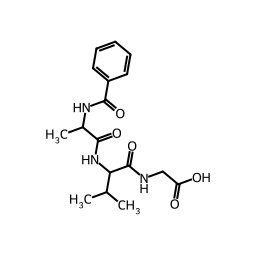 CC(NC(=O)c1ccccc1)C(=O)NC(C(=O)NCC(=O)O)C(C)C